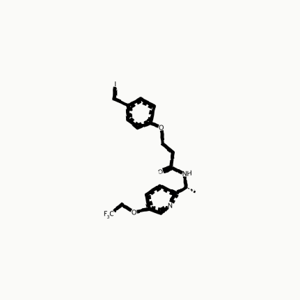 C[C@@H](NC(=O)CCOc1ccc(CI)cc1)c1ccc(OCC(F)(F)F)cn1